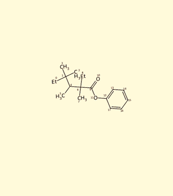 CCC(C)(C)C(C)C(C)(CC)C(=O)Oc1ccccc1